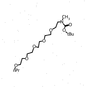 CCCOCCOCCOCCOCCOCCN(C)C(=O)OC(C)(C)C